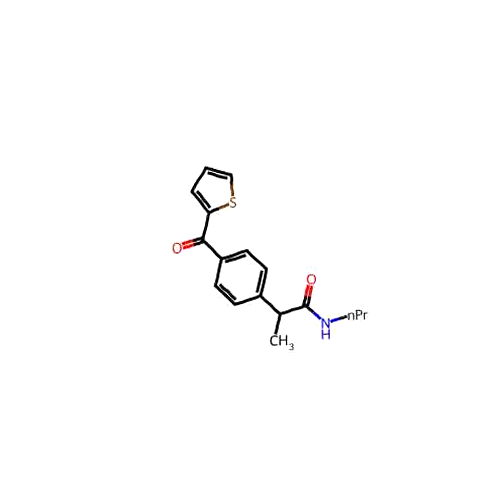 CCCNC(=O)C(C)c1ccc(C(=O)c2cccs2)cc1